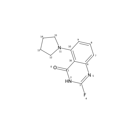 O=c1[nH]c(F)nc2cccc(N3CCCC3)c12